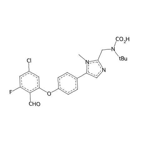 Cn1c(-c2ccc(Oc3cc(Cl)cc(F)c3C=O)cc2)cnc1CN(C(=O)O)C(C)(C)C